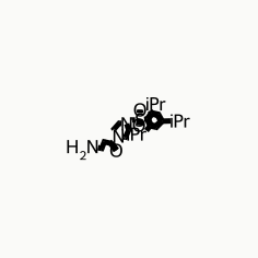 CC(C)c1cc(C(C)C)c(S(=O)(=O)CN2CCN(C(=O)CCN)CC2)c(C(C)C)c1